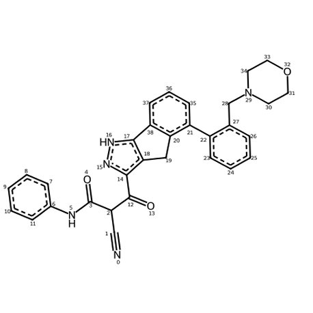 N#CC(C(=O)Nc1ccccc1)C(=O)c1n[nH]c2c1Cc1c(-c3ccccc3CN3CCOCC3)cccc1-2